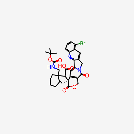 CC[C@@]1(C(C(=O)O)C2(CNC(=O)OC(C)(C)C)CCCCC2)C(=O)OCc2c1cc1n(c2=O)Cc2cc3c(Br)cccc3nc2-1